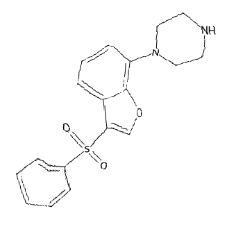 O=S(=O)(c1ccccc1)c1coc2c(N3CCNCC3)cccc12